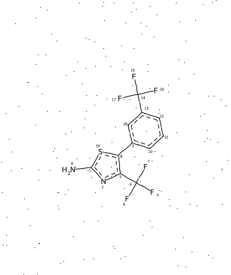 Nc1nc(C(F)(F)F)c(-c2cccc(C(F)(F)F)c2)s1